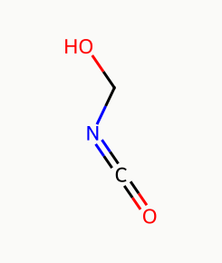 O=C=NCO